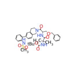 CC(C)(C)OC(=O)NC(C)(C)C(=O)NC(COCc1ccccc1)C(=O)N1CCc2cc(-c3ccccc3NS(C)(=O)=O)ccc2C1